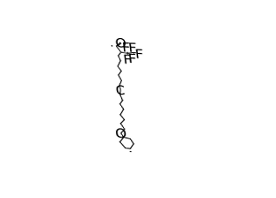 O=[C]C(CCCCCCCCCCCCCCCCOC1CC[CH]CC1)C(F)(F)C(F)(F)F